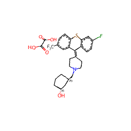 O=C(O)C(=O)O.O[C@@H]1CCC[C@@H](CN2CCC(=C3c4ccc(F)cc4Sc4ccc(C(F)(F)F)cc43)CC2)C1